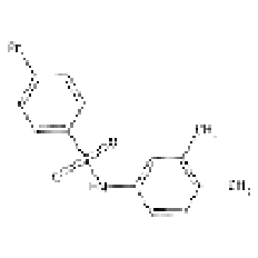 Cc1ccc(NS(=O)(=O)c2ccc(C(C)C)cc2)cc1C